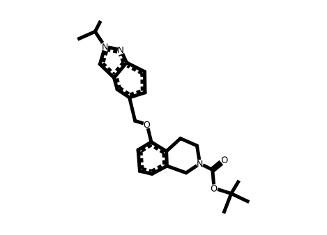 CC(C)n1cc2cc(COc3cccc4c3CCN(C(=O)OC(C)(C)C)C4)ccc2n1